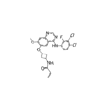 C=CC(=O)NC1CC(Oc2cc3c(Nc4ccc(Cl)c(Cl)c4F)ncnc3cc2OC)C1